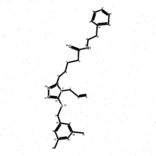 C=CCn1c(CCCCC(=O)NCCc2ccccc2)nnc1SCc1cc(C)cc(C)c1